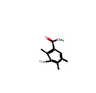 COC(=O)c1cc(C)c(C)c(C=O)c1C